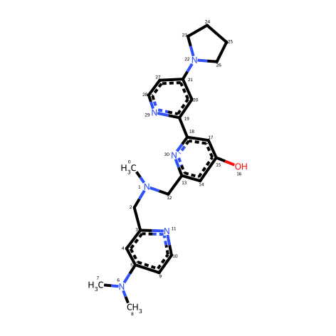 CN(Cc1cc(N(C)C)ccn1)Cc1cc(O)cc(-c2cc(N3CCCC3)ccn2)n1